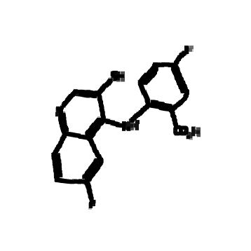 O=C(O)c1cc(F)ccc1Nc1c(S)cnc2ccc(F)cc12